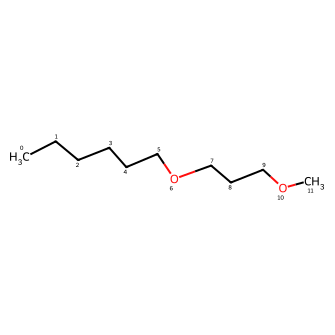 CCCCCCOCCCOC